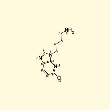 NCCCCn1cnc2ccc(Cl)nc21